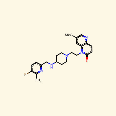 COc1cnc2ccc(=O)n(CCN3CCC(NCc4ccc(Br)c(C)n4)CC3)c2c1